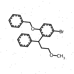 COCCC(c1ccccc1)c1cc(Br)ccc1OCc1ccccc1